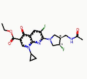 CCOC(=O)c1cn(C2CC2)c2nc(N3C[C@@H](CNC(C)=O)[C@@H](F)C3)c(F)cc2c1=O